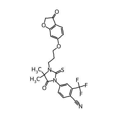 CC1(C)C(=O)N(c2ccc(C#N)c(C(F)(F)F)c2)C(=S)N1CCCOc1ccc2c(c1)OCC2=O